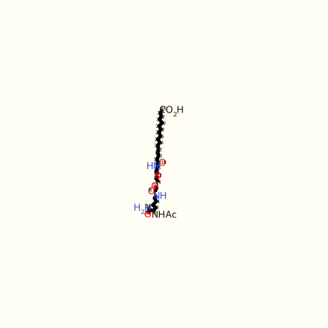 CC(=O)N[C@@H](CCCCNC(=O)COCCOCCNC(=O)CCCCCCCCCCCCCCCC(=O)O)C(N)=O